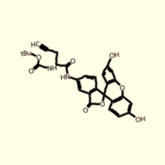 C#CCC(NC(=O)OC(C)(C)C)C(=O)Nc1ccc2c(c1)C(=O)OC21c2ccc(O)cc2Oc2cc(O)ccc21